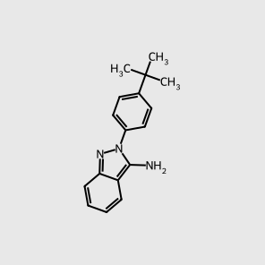 CC(C)(C)c1ccc(-n2nc3ccccc3c2N)cc1